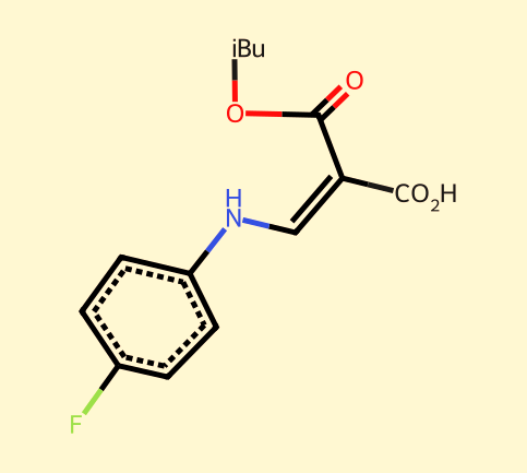 CCC(C)OC(=O)C(=CNc1ccc(F)cc1)C(=O)O